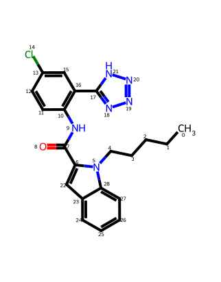 CCCCCn1c(C(=O)Nc2ccc(Cl)cc2-c2nnn[nH]2)cc2ccccc21